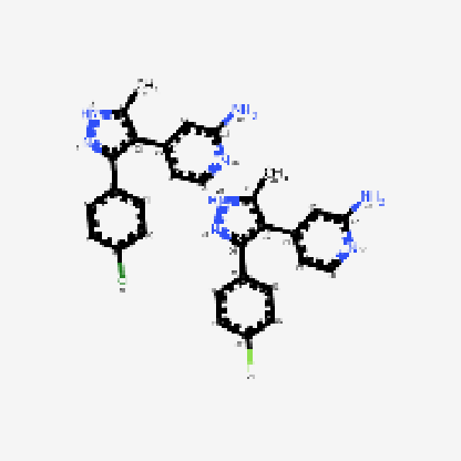 Cc1[nH]nc(-c2ccc(Cl)cc2)c1-c1ccnc(N)c1.Cc1[nH]nc(-c2ccc(F)cc2)c1-c1ccnc(N)c1